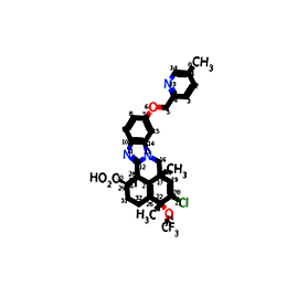 Cc1ccc(COc2ccc3nc4n(c3c2)CC2(C)C=C(Cl)C(C)(OC(F)(F)F)C3=C2[C@H]4[C@H](C(=O)O)CC3)nc1